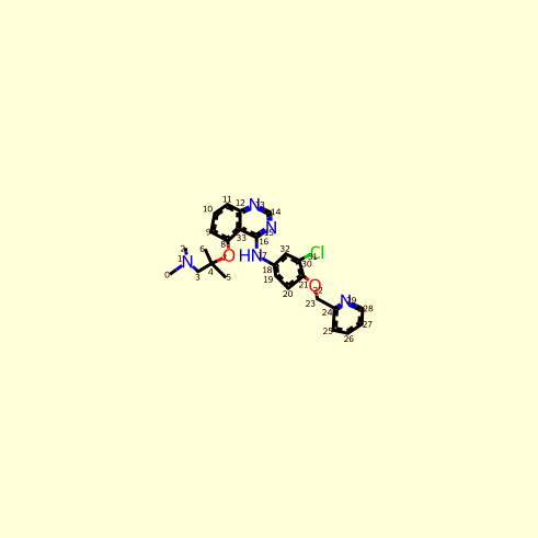 CN(C)CC(C)(C)Oc1cccc2ncnc(Nc3ccc(OCc4ccccn4)c(Cl)c3)c12